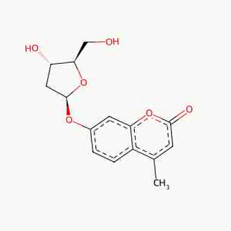 Cc1cc(=O)oc2cc(O[C@H]3C[C@H](O)[C@@H](CO)O3)ccc12